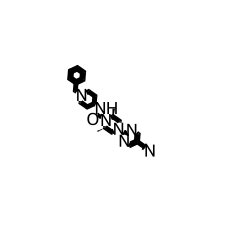 C[C@H]1CN(c2ncc(C#N)cn2)C[C@H](C)N1C(=O)NC1CCN(Cc2ccccc2)CC1